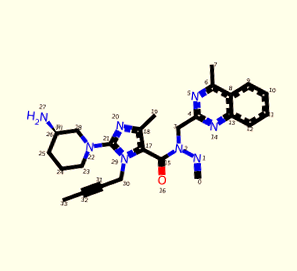 C=NN(Cc1nc(C)c2ccccc2n1)C(=O)c1c(C)nc(N2CCC[C@@H](N)C2)n1CC#CC